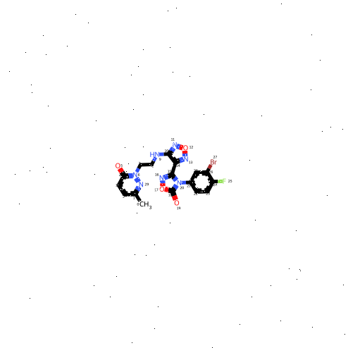 Cc1ccc(=O)n(CCNc2nonc2-c2noc(=O)n2-c2ccc(F)c(Br)c2)n1